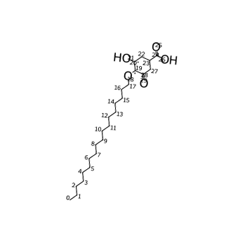 CCCCCCCCCCCCCCCCCCO[C]1[C](O)CC(C(=O)O)CC1=O